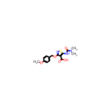 COc1ccc(COc2nsc(NC(=O)N(C)C)c2C(=O)O)cc1